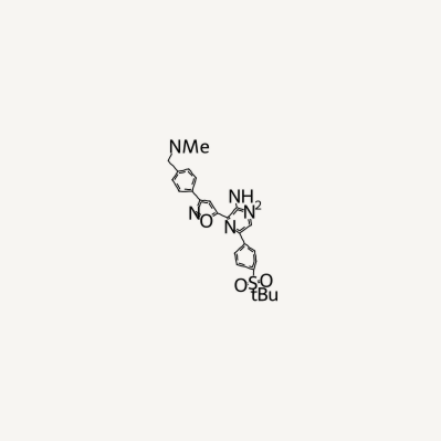 CNCc1ccc(-c2cc(-c3nc(-c4ccc(S(=O)(=O)C(C)(C)C)cc4)cnc3N)on2)cc1